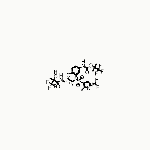 Cc1nn(C(F)F)cc1S(=O)(=O)N1c2cc(NC(=O)OC(C)(C)C(F)(F)F)ccc2O[C@@H](CNC(=O)C(C)(O)C(F)(F)F)[C@H]1C